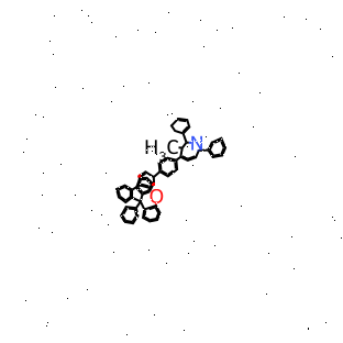 CC1C(c2ccc(C3C=CC(c4ccccc4C4(c5ccccc5)c5ccccc5Oc5ccccc54)=CC3)cc2)=C=CC(c2ccccc2)=NC1C1=CC=CCC1